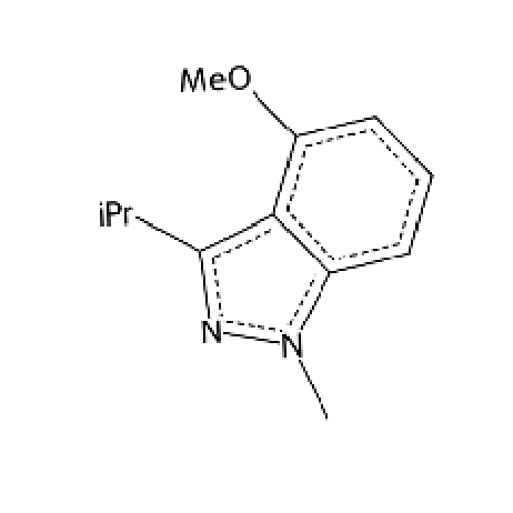 COc1cccc2c1c(C(C)C)nn2C